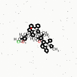 C1=CC[C]([Zr](=[C](c2ccccc2)c2ccccc2)[CH]2c3ccccc3-c3ccccc32)=C1.CC(C)(C)c1ccc([O-])c(C(C)(C)C)c1.CC(C)(C)c1ccc([O-])c(C(C)(C)C)c1.CC1=CC[C]([Zr](=[C](c2ccccc2)c2ccccc2)[CH]2c3ccccc3-c3ccccc32)=C1.[Cl-]